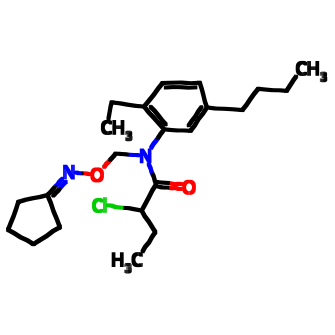 CCCCc1ccc(CC)c(N(CON=C2CCCC2)C(=O)C(Cl)CC)c1